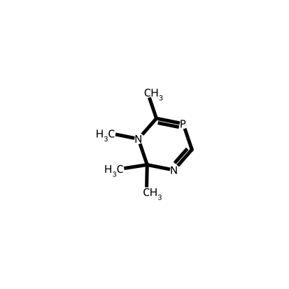 CC1=PC=NC(C)(C)N1C